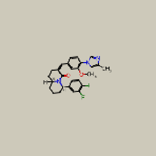 COc1cc(C=C2CC[C@H]3CCC[C@H](c4ccc(F)c(F)c4)N3C2=O)ccc1-n1cnc(C)c1